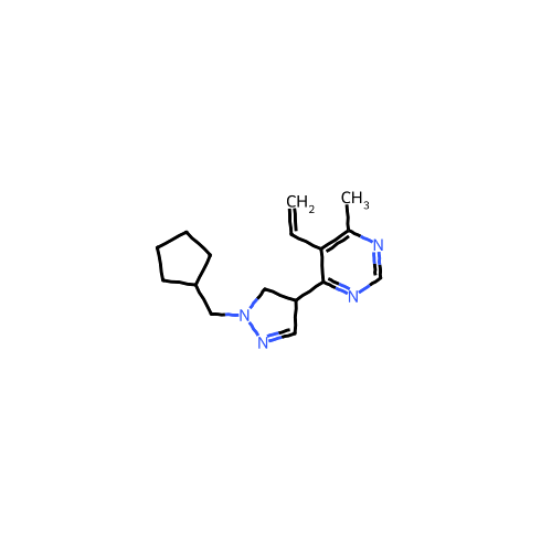 C=Cc1c(C)ncnc1C1C=NN(CC2CCCC2)C1